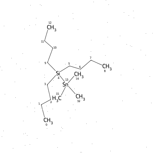 CCCC[Si](CCCC)(CCCC)[Sn]([CH3])([CH3])[CH3]